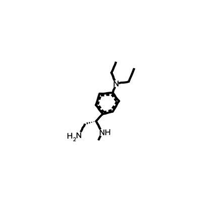 CCN(CC)c1ccc([C@@H](CN)NC)cc1